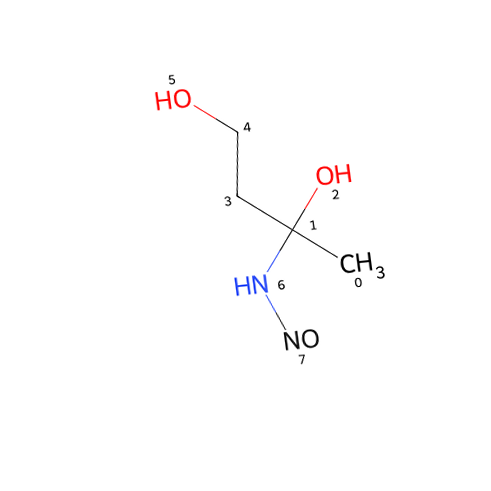 CC(O)(CCO)NN=O